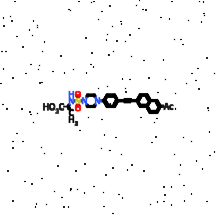 CC(=O)c1ccc2cc(C#Cc3ccc(N4CCN(S(=O)(=O)N[C@H](C)C(=O)O)CC4)cc3)ccc2c1